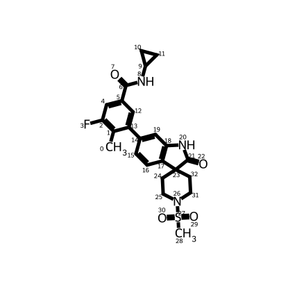 Cc1c(F)cc(C(=O)NC2CC2)cc1-c1ccc2c(c1)NC(=O)C21CCN(S(C)(=O)=O)CC1